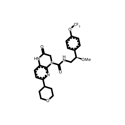 CO[C@@H](CNC(=O)N1CC(=O)Nc2ccc(C3CCOCC3)nc21)c1ccc(OC(F)(F)F)cc1